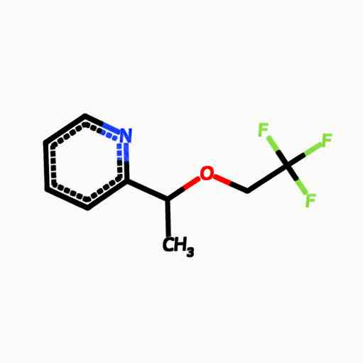 CC(OCC(F)(F)F)c1ccccn1